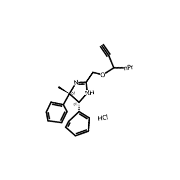 C#CC(CCC)OCC1=N[C@@](C)(c2ccccc2)[C@@H](c2ccccc2)N1.Cl